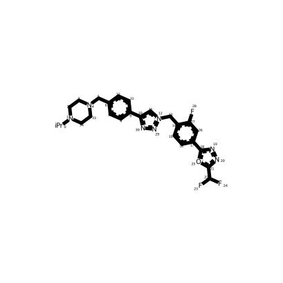 CC(C)N1CCN(Cc2ccc(-c3cn(Cc4ccc(-c5nnc(C(F)F)o5)cc4F)nn3)cc2)CC1